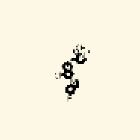 COc1ncccc1CN1CCc2c(Cl)cc(-n3ccc4cc(F)ccc43)cc2C1